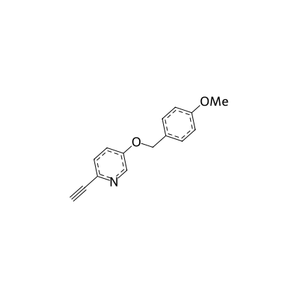 C#Cc1ccc(OCc2ccc(OC)cc2)cn1